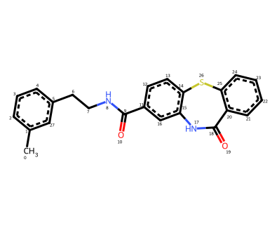 Cc1cccc(CCNC(=O)c2ccc3c(c2)NC(=O)c2ccccc2S3)c1